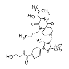 CCCCN1C(=O)[C@@H]([C@H](O)C(C)C)NC(=O)C12CCN(Cc1c(C)nn(-c3ccc(C(=O)NCCO)cc3)c1C)CC2.Cl